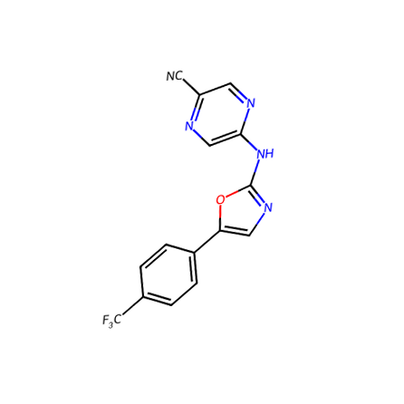 N#Cc1cnc(Nc2ncc(-c3ccc(C(F)(F)F)cc3)o2)cn1